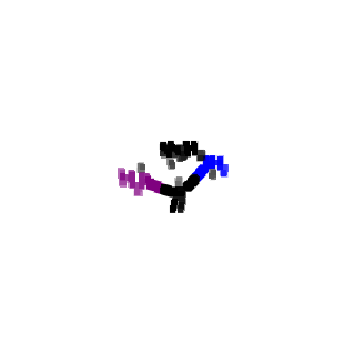 NBP.[MgH2]